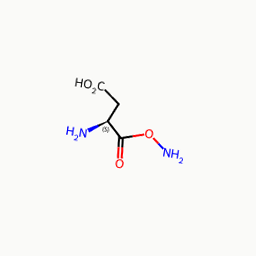 NOC(=O)[C@@H](N)CC(=O)O